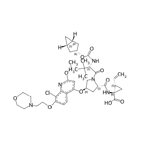 C=C[C@@H]1C[C@]1(NC(=O)[C@@H]1C[C@@H](Oc2cc(OCC)nc3c(Cl)c(OCCN4CCOCC4)ccc23)CN1C(=O)[C@@H](NC(=O)O[C@@H]1C[C@@H]2C[C@@H]2C1)C(C)(C)C)C(=O)O